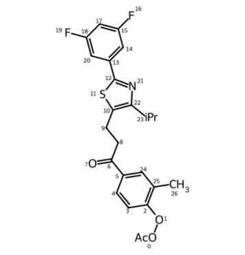 CC(=O)OOc1ccc(C(=O)CCc2sc(-c3cc(F)cc(F)c3)nc2C(C)C)cc1C